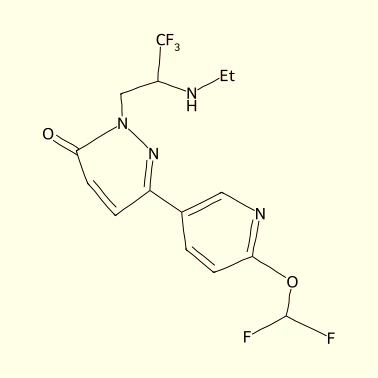 CCNC(Cn1nc(-c2ccc(OC(F)F)nc2)ccc1=O)C(F)(F)F